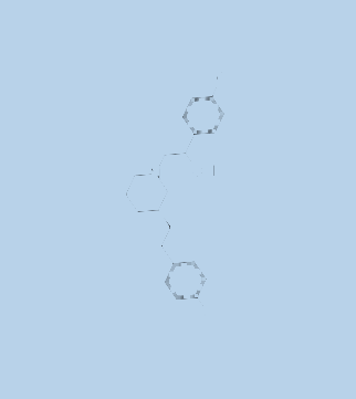 OC(CN1CCC[C@H](CCc2ccc(C(F)(F)F)cc2)C1)c1ccc(Cl)cc1